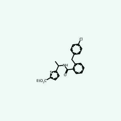 CCOC(=O)c1ccc(C(C)NC(=O)c2ccccc2Cc2ccc(Cl)cc2)s1